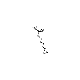 CCCCC(=O)CCCCCCC(C)(C)C